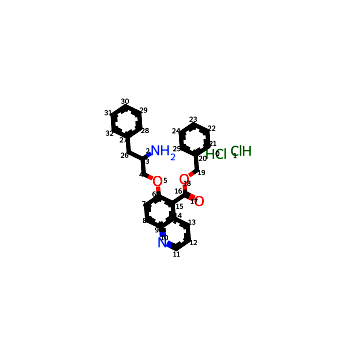 Cl.Cl.NC(COc1ccc2ncccc2c1C(=O)OCc1ccccc1)Cc1ccccc1